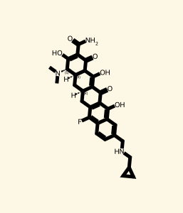 CN(C)[C@@H]1C(O)=C(C(N)=O)C(=O)C2C(O)=C3C(=O)c4c(c(F)c5ccc(CNCC6CC6)cc5c4O)C[C@H]3C[C@H]21